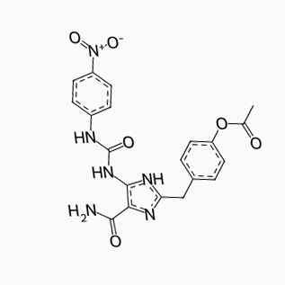 CC(=O)Oc1ccc(Cc2nc(C(N)=O)c(NC(=O)Nc3ccc([N+](=O)[O-])cc3)[nH]2)cc1